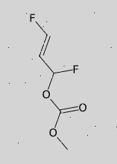 COC(=O)OC(F)/C=C/F